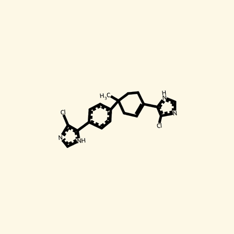 CC1(c2ccc(-c3[nH]cnc3Cl)cc2)CC=C(c2[nH]cnc2Cl)CC1